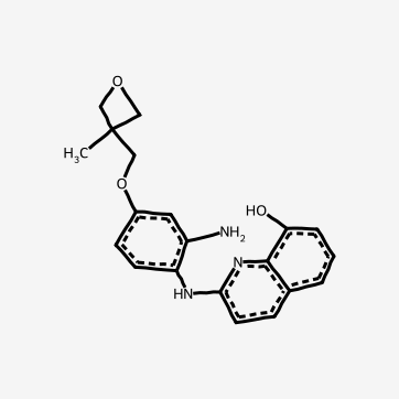 CC1(COc2ccc(Nc3ccc4cccc(O)c4n3)c(N)c2)COC1